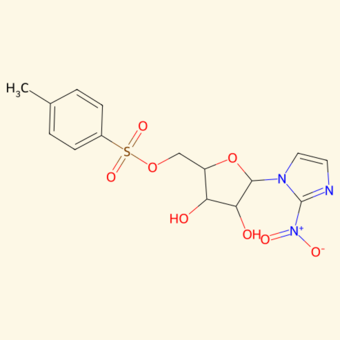 Cc1ccc(S(=O)(=O)OCC2OC(n3ccnc3[N+](=O)[O-])C(O)C2O)cc1